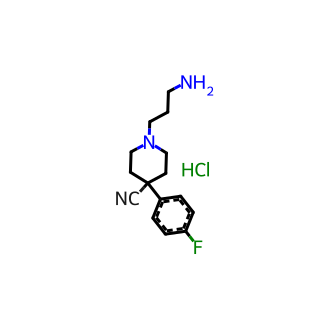 Cl.N#CC1(c2ccc(F)cc2)CCN(CCCN)CC1